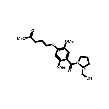 CNc1cc(OCCCC(=O)OC)c(OC)cc1C(=O)N1CCC[C@H]1CO